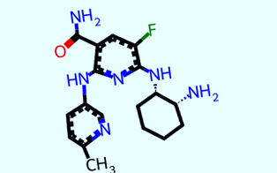 Cc1ccc(Nc2nc(N[C@H]3CCCC[C@H]3N)c(F)cc2C(N)=O)cn1